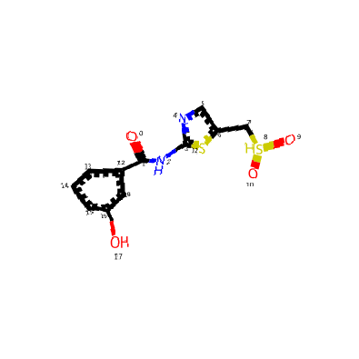 O=C(Nc1ncc(C[SH](=O)=O)s1)c1cccc(O)c1